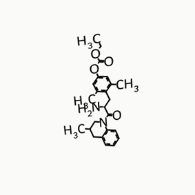 CCOC(=O)Oc1cc(C)c(C[C@H](N)C(=O)N2CC(C)Cc3ccccc32)c(C)c1